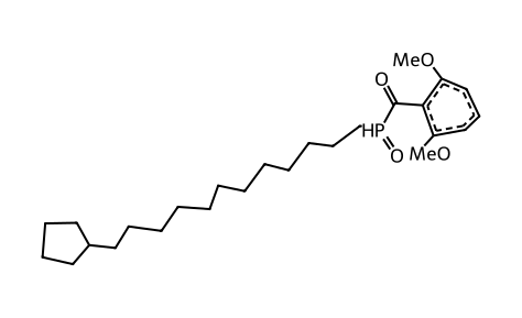 COc1cccc(OC)c1C(=O)[PH](=O)CCCCCCCCCCCCC1CCCC1